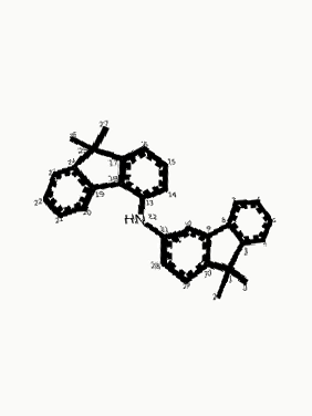 CC1(C)c2ccccc2-c2cc(Nc3cccc4c3-c3ccccc3C4(C)C)ccc21